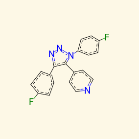 Fc1ccc(-c2nnn(-c3ccc(F)cc3)c2-c2ccncc2)cc1